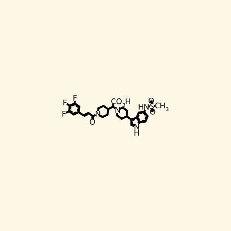 CS(=O)(=O)Nc1ccc2[nH]cc(C3CCN(C(C(=O)O)C4CCN(C(=O)C=Cc5cc(F)c(F)c(F)c5)CC4)CC3)c2c1